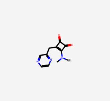 CC(C)N(C)c1c(Cc2cnccn2)c(=O)c1=O